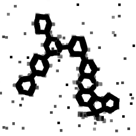 CC1(C)c2ccccc2-c2c1ccc1c2Oc2ccc(-c3cccc(-c4nc(-c5ccccc5)cc(-c5ccc(-c6ccccc6)cc5)n4)c3)cc2O1